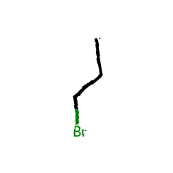 [CH2]CCBr